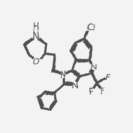 FC(F)(F)c1nc2cc(Cl)ccc2c2c1nc(-c1ccccc1)n2CCC1CNCCO1